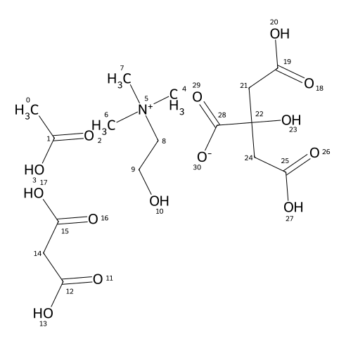 CC(=O)O.C[N+](C)(C)CCO.O=C(O)CC(=O)O.O=C(O)CC(O)(CC(=O)O)C(=O)[O-]